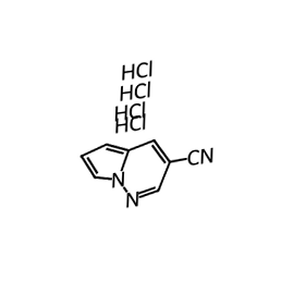 Cl.Cl.Cl.Cl.N#Cc1cnn2cccc2c1